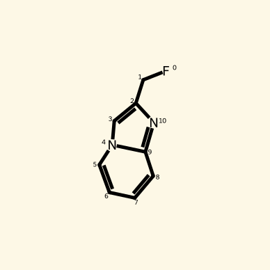 FCc1cn2ccccc2n1